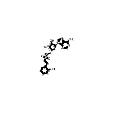 Nc1ncnc2c1ncn2[C@@H]1O[C@H](CNS(=O)(=O)/C=C/c2ccccc2O)[C@H](O)C1O